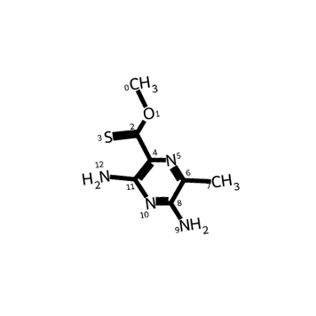 COC(=S)c1nc(C)c(N)nc1N